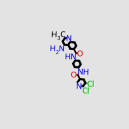 Cc1cc(N)c2cc(C(=O)Nc3ccc(NC(=O)c4cnc(Cl)c(Cl)c4)cc3)ccc2n1